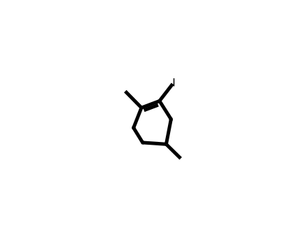 CC1=C(I)CC(C)CC1